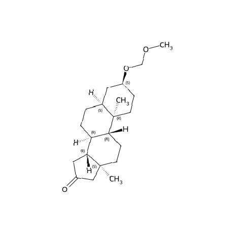 COCO[C@H]1CC[C@]2(C)[C@@H](CC[C@@H]3[C@H]4CC(=O)C[C@]4(C)CC[C@H]32)C1